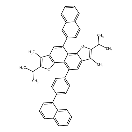 Cc1c(C(C)C)oc2c1cc(-c1ccc3ccccc3c1)c1c3oc(C(C)C)c(C)c3cc(-c3ccc(-c4cccc5ccccc45)cc3)c21